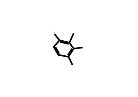 [CH2]c1c(C)ccc(I)c1C